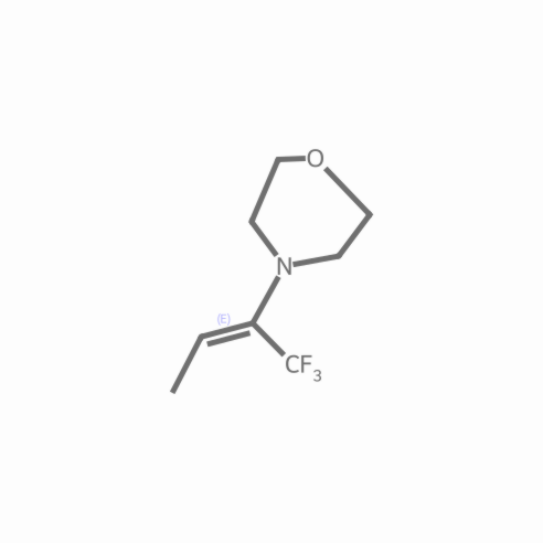 C/C=C(/N1CCOCC1)C(F)(F)F